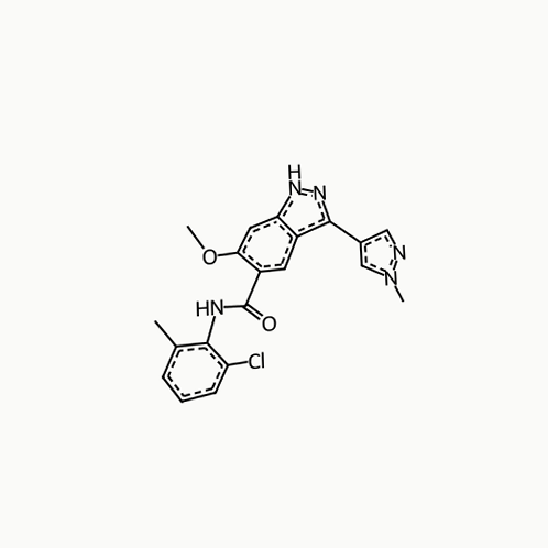 COc1cc2[nH]nc(-c3cnn(C)c3)c2cc1C(=O)Nc1c(C)cccc1Cl